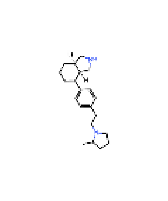 CC1CCCN1CCc1ccc(C2CCC[C@H]3CNC[C@@H]23)cc1